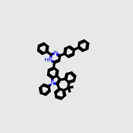 CC1(C)c2ccccc2-c2c(n(-c3ccccc3)c3ccc(C4=CC(c5ccc(-c6ccccc6)cc5)=NC(c5ccccc5)N4)cc23)-c2ccccc21